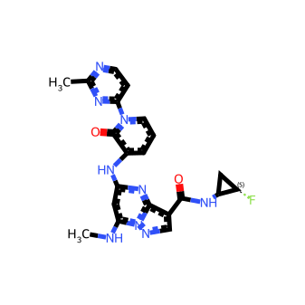 CNc1cc(Nc2cccn(-c3ccnc(C)n3)c2=O)nc2c(C(=O)NC3C[C@@H]3F)cnn12